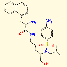 CC(C)CN(C(CO)CCCNC(=O)C(N)Cc1cccc2ccccc12)S(=O)(=O)c1ccc(N)cc1